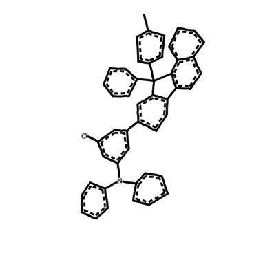 Cc1ccc(C2(c3ccccc3)c3cc(-c4cc(Cl)cc(N(c5ccccc5)c5ccccc5)c4)ccc3-c3ccc4ccccc4c32)cc1